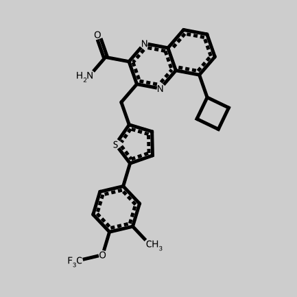 Cc1cc(-c2ccc(Cc3nc4c(C5CCC5)cccc4nc3C(N)=O)s2)ccc1OC(F)(F)F